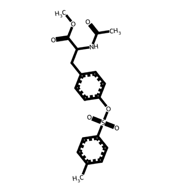 COC(=O)C(Cc1ccc(OS(=O)(=O)c2ccc(C)cc2)cc1)NC(C)=O